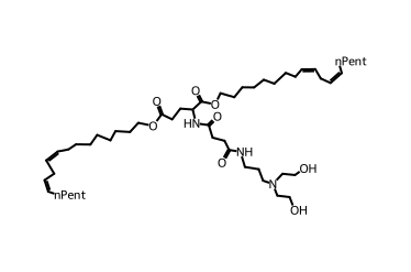 CCCCC/C=C\C/C=C\CCCCCCCCOC(=O)CCC(NC(=O)CCC(=O)NCCCN(CCO)CCO)C(=O)OCCCCCCCC/C=C\C/C=C\CCCCC